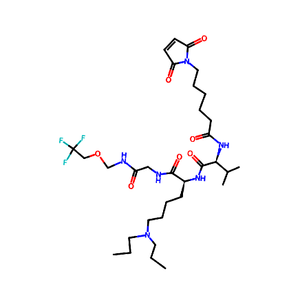 CCCN(CCC)CCCC[C@H](NC(=O)[C@@H](NC(=O)CCCCCN1C(=O)C=CC1=O)C(C)C)C(=O)NCC(=O)NCOCC(F)(F)F